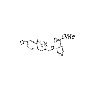 COC(=O)c1ccncc1OC[C@@H](N)Cc1ccc(Cl)cc1